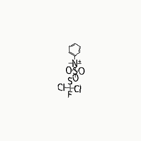 C[N+](C)(c1ccccc1)S(=O)(=O)OSC(F)(Cl)Cl